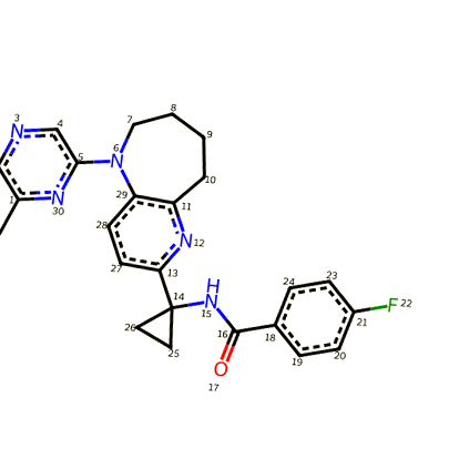 Cc1cncc(N2CCCCc3nc(C4(NC(=O)c5ccc(F)cc5)CC4)ccc32)n1